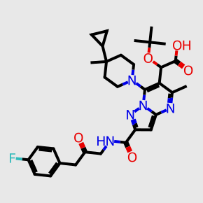 Cc1nc2cc(C(=O)NCC(=O)Cc3ccc(F)cc3)nn2c(N2CCC(C)(C3CC3)CC2)c1C(OC(C)(C)C)C(=O)O